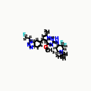 [2H]c1cc(-c2ccc3nnn(CCF)c3c2)c2c(OC)nc(N[C@@H]3CCN(C([2H])([2H])[2H])CC3(F)F)nn12